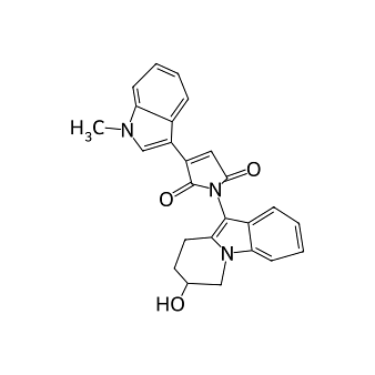 Cn1cc(C2=CC(=O)N(c3c4n(c5ccccc35)CC(O)CC4)C2=O)c2ccccc21